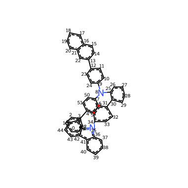 c1ccc(-c2ccc(N(c3ccc(-c4ccc5ccccc5c4)cc3)c3ccccc3-c3ccc(-n4c5ccccc5c5ccccc54)cc3)cc2)cc1